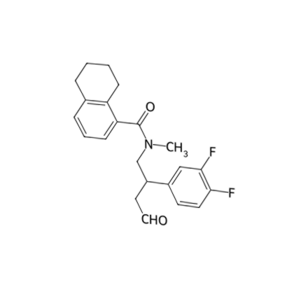 CN(CC(CC=O)c1ccc(F)c(F)c1)C(=O)c1cccc2c1CCCC2